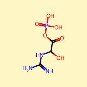 N=C(N)NC(O)C(=O)OP(=O)(O)O